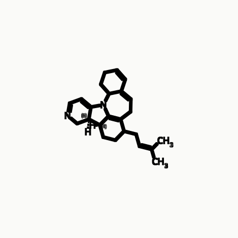 CC(C)=CCC1CC[C@H]2C3=C1CC=C1C=CCCC1N3C1=CC=NC[C@@H]12